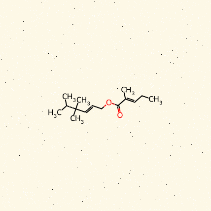 CC/C=C(\C)C(=O)OCC=CC(C)(C)C(C)C